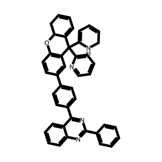 C1=CCNC(C2(c3ccccn3)C3=CC=CCC3Oc3ccc(-c4ccc(-c5nc(-c6ccccc6)nc6ccccc56)cc4)cc32)=C1